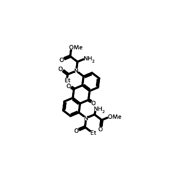 CCC(=O)N(c1cccc2c1C(=O)c1cccc(N(C(=O)CC)C(N)C(=O)OC)c1C2=O)C(N)C(=O)OC